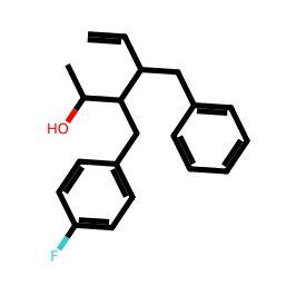 C=CC(Cc1ccccc1)C(Cc1ccc(F)cc1)C(C)O